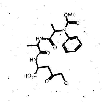 COC(=O)N(c1ccccc1)C(C)C(=O)NC(C)C(=O)NC(CC(=O)CCl)C(=O)O